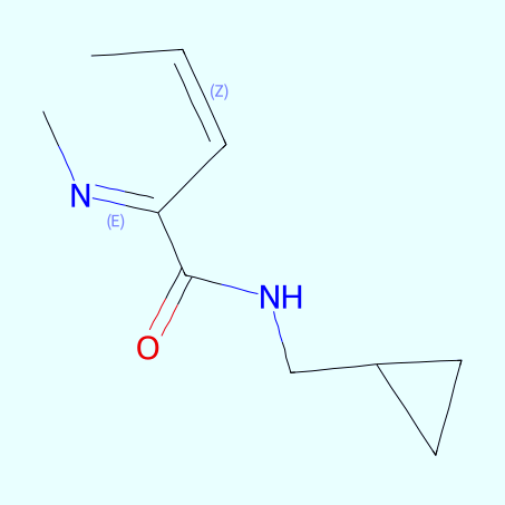 C/C=C\C(=N/C)C(=O)NCC1CC1